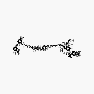 CC(C)(COCCCCCOCc1ccc(Cn2cc(C(=O)NCCOCCNCc3cc(Br)ccc3OCc3ccc(F)c(C(F)(F)F)c3)cn2)nn1)c1cc2cc(NC(=O)C3(c4ccc5c(c4)OC(F)(F)O5)CC3)c(F)cc2n1C[C@@H](O)CO